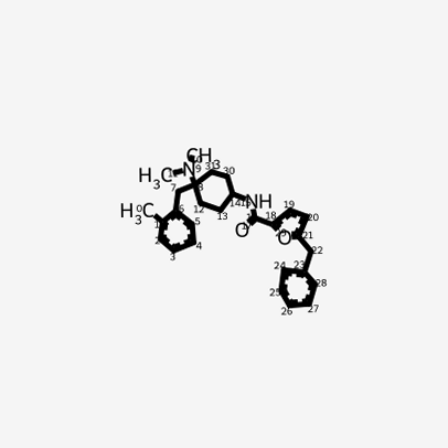 Cc1ccccc1CC1(N(C)C)CCC(NC(=O)c2ccc(Cc3ccccc3)o2)CC1